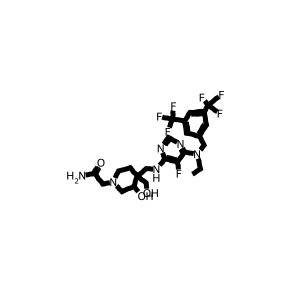 CCN(Cc1cc(C(F)(F)F)cc(C(F)(F)F)c1)c1ncnc(NCC2(CO)CCN(CC(N)=O)CC2O)c1F